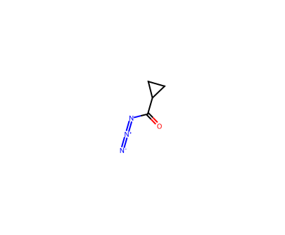 [N-]=[N+]=NC(=O)C1CC1